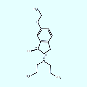 CCCN(CCC)[C@H]1Cc2ccc(OCC)cc2[C@@H]1O